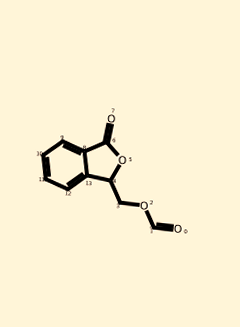 O=[C]OCC1OC(=O)c2ccccc21